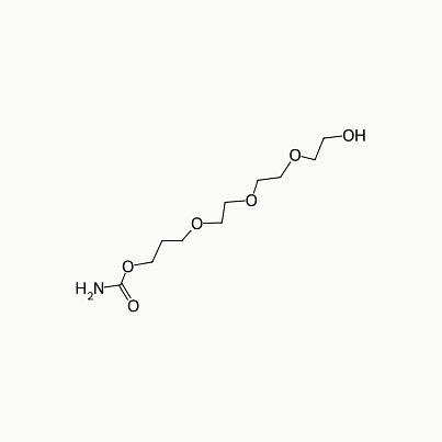 NC(=O)OCCCOCCOCCOCCO